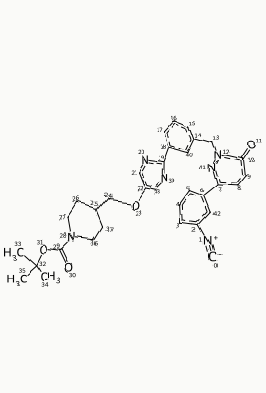 [C-]#[N+]c1cccc(-c2ccc(=O)n(Cc3cccc(-c4ncc(OCC5CCN(C(=O)OC(C)(C)C)CC5)cn4)c3)n2)c1